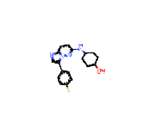 OC1CCC(Nc2ccc3ncc(-c4ccc(F)cc4)n3n2)CC1